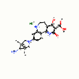 Cl.N[C@@H]1[C@H]2CN(c3ccc4c(c3)NCCc3c-4[nH]c(=O)c(C(=O)O)c3O)C[C@@H]12